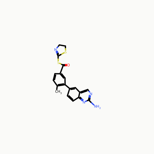 Cc1ccc(C(=O)SC2=NCCS2)cc1-c1ccc2nc(N)ncc2c1